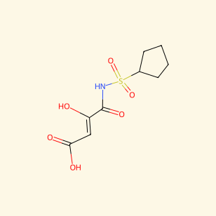 O=C(O)C=C(O)C(=O)NS(=O)(=O)C1CCCC1